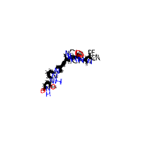 CC(C)(C(=O)Nc1cnc(C#N)c(C(F)(F)F)c1)n1cc(C#CC2CN(c3cccc(NC4CCC(=O)NC4=O)n3)C2)cn1